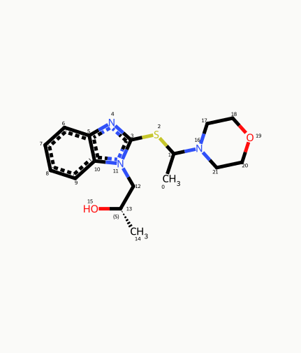 CC(Sc1nc2ccccc2n1C[C@H](C)O)N1CCOCC1